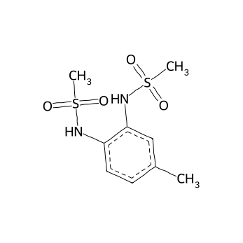 Cc1ccc(NS(C)(=O)=O)c(NS(C)(=O)=O)c1